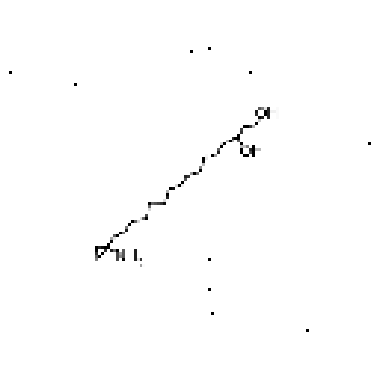 NC1(CCCCCCCCCCCCCC(O)CCO)CC1